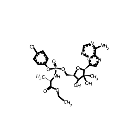 CCOC(=O)[C@H](C)NP(=O)(OC[C@H]1O[C@@H](c2cnc3c(N)ncnn23)[C@](C)(O)C1O)Oc1ccc(Cl)cc1